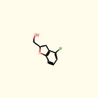 OCC1Cc2c([c]ccc2Br)O1